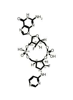 Nc1nc2c(ncn2[C@@H]2O[C@@H]3COP(=O)(O)O[C@@H]4[C@@H](CO[P@@](=O)(S)O[C@@H]2[C@@H]3F)C[C@@H](Nc2ccncn2)[C@@H]4F)c(=O)[nH]1